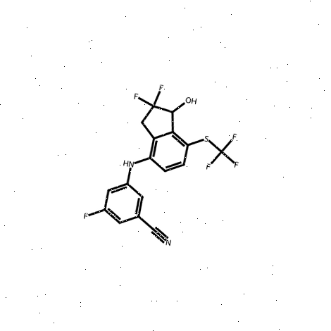 N#Cc1cc(F)cc(Nc2ccc(SC(F)(F)F)c3c2CC(F)(F)C3O)c1